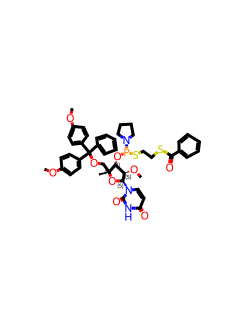 COc1ccc(C(OC[C@@]2(C)O[C@H](n3ccc(=O)[nH]c3=O)[C@@H](OC)[C@H]2OP(SCCSC(=O)c2ccccc2)N2CCCC2)(c2ccccc2)c2ccc(OC)cc2)cc1